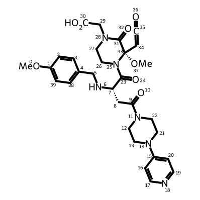 COc1ccc(CN[C@@H](CC(=O)N2CCN(c3ccncc3)CC2)C(=O)N2CCN(CC(=O)O)C(=O)[C@]2(C=C=O)OC)cc1